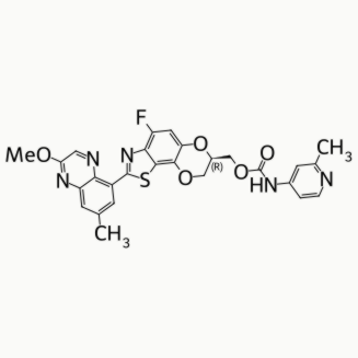 COc1cnc2c(-c3nc4c(F)cc5c(c4s3)OC[C@H](COC(=O)Nc3ccnc(C)c3)O5)cc(C)cc2n1